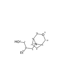 CCC(CO)CN1C2CCC1COC2